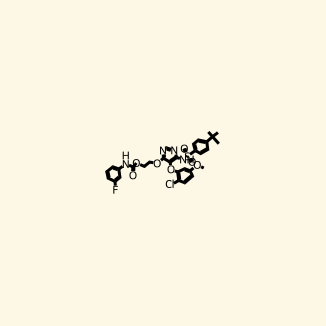 COc1ccc(Cl)c(Oc2c(NS(=O)(=O)c3ccc(C(C)(C)C)cc3)ncnc2OCCOC(=O)Nc2cccc(F)c2)c1